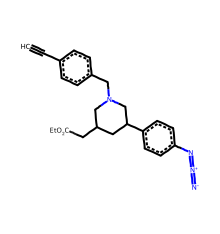 C#Cc1ccc(CN2CC(CC(=O)OCC)CC(c3ccc(N=[N+]=[N-])cc3)C2)cc1